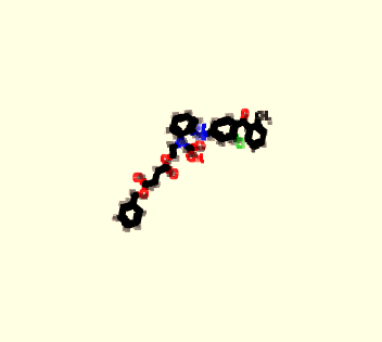 Cc1ccccc1C(=O)c1ccc(Nc2ccccc2N(CCOC(=O)CCC(=O)OCc2ccccc2)C(=O)O)cc1Cl